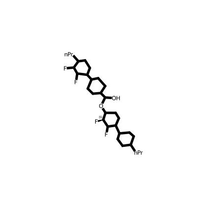 CCCC1CCC(C2CCC(OC(O)C3CCC(C4CCC(CCC)C(F)C4F)CC3)[C@H](F)C2F)CC1